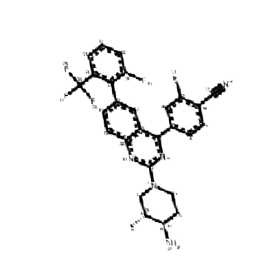 C[C@@H]1CN(c2nc(-c3ccc(C#N)c(F)c3)c3cc(-c4c(F)cccc4C(F)(F)F)ccc3n2)CC[C@H]1N